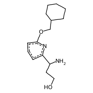 NC(CCO)c1cccc(OCC2CCCCC2)n1